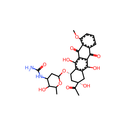 COc1cccc2c1C(=O)c1c(O)c3c(c(O)c1C2=O)C[C@@](O)(C(C)=O)C[C@@H]3OC1CC(NC(N)=O)C(O)C(C)O1